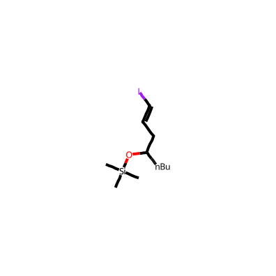 CCCCC(C/C=C/I)O[Si](C)(C)C